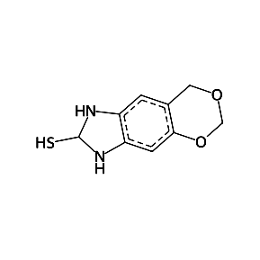 SC1Nc2cc3c(cc2N1)OCOC3